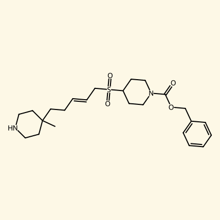 CC1(CCC=CCS(=O)(=O)C2CCN(C(=O)OCc3ccccc3)CC2)CCNCC1